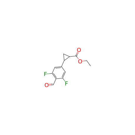 CCOC(=O)C1CC1c1cc(F)c(C=O)c(F)c1